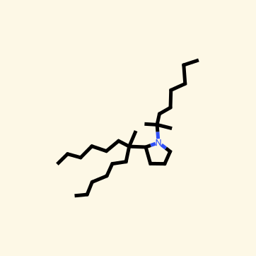 CCCCCCC(C)(CCCCCC)C1CCCN1C(C)(C)CCCCCC